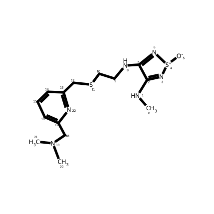 CNc1n[s+]([O-])nc1NCCSCc1cccc(CN(C)C)n1